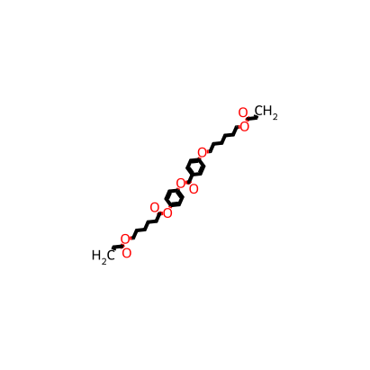 C=CC(=O)OCCCCCCOc1ccc(C(=O)Oc2ccc(OC(=O)CCCCCOC(=O)C=C)cc2)cc1